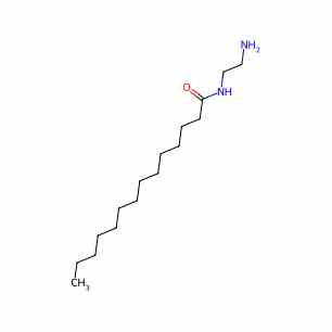 CCCCCCCCCCCCCC(=O)NCCN